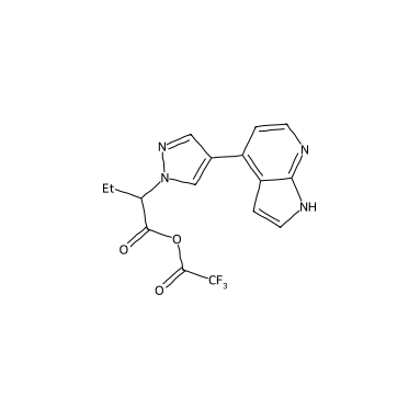 CCC(C(=O)OC(=O)C(F)(F)F)n1cc(-c2ccnc3[nH]ccc23)cn1